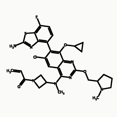 C=CC(=O)N1CC(N(C)c2nc(OCC3CCCN3C)nc3c(OC4CC4)c(-c4ccc(F)c5sc(N)nc45)c(Cl)cc23)C1